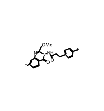 COCc1nc2cc(F)ccc2c(=O)n1NC(=O)CCc1ccc(F)cc1